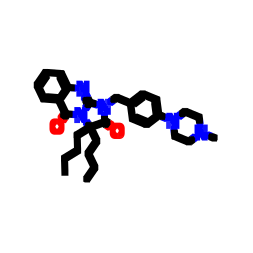 CCCCC1(CCCC)C(=O)N(Cc2ccc(N3CCN(C)CC3)cc2)c2nc3ccccc3c(=O)n21